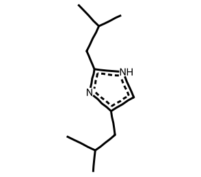 CC(C)Cc1c[nH]c(CC(C)C)n1